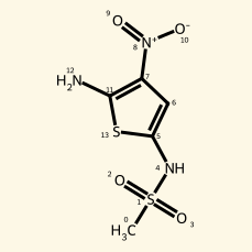 CS(=O)(=O)Nc1cc([N+](=O)[O-])c(N)s1